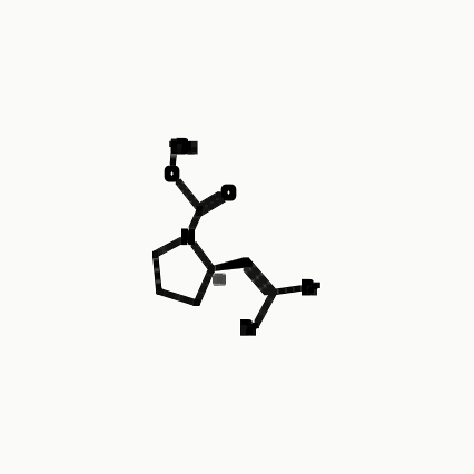 CC(C)(C)OC(=O)N1CCC[C@@H]1C=C(Br)Br